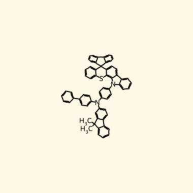 CC1(C)c2ccccc2-c2ccc(N(c3ccc(-c4ccccc4)cc3)c3ccc(-n4c5ccccc5c5ccc6c(c54)Sc4ccccc4C64c5ccccc5-c5ccccc54)cc3)cc21